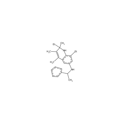 CCc1cc(NC(C)c2ccccc2)cc2c1NC(C)(CC)C(C)=C2C